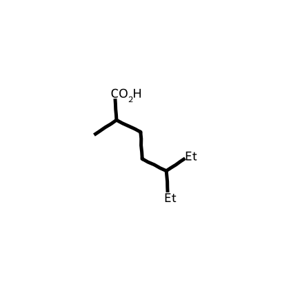 CCC(CC)CCC(C)C(=O)O